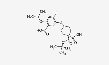 CC(C)Oc1cc(F)c(OC2CCC(C(=O)O)(C(=O)OC(C)(C)C)CC2)cc1C(=O)O